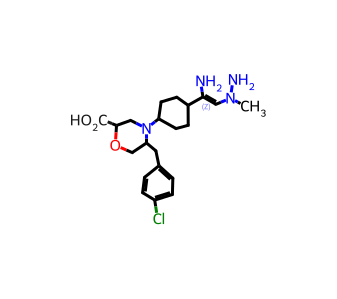 CN(N)/C=C(\N)C1CCC(N2CC(C(=O)O)OCC2Cc2ccc(Cl)cc2)CC1